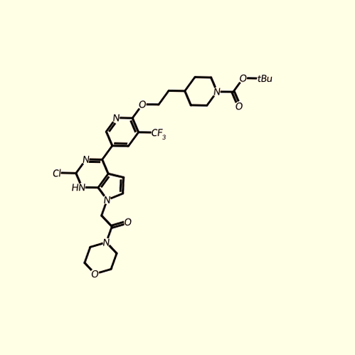 CC(C)(C)OC(=O)N1CCC(CCOc2ncc(C3=NC(Cl)Nc4c3ccn4CC(=O)N3CCOCC3)cc2C(F)(F)F)CC1